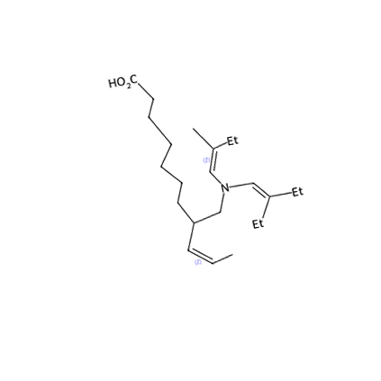 C/C=C\C(CCCCCCC(=O)O)CN(C=C(CC)CC)/C=C(/C)CC